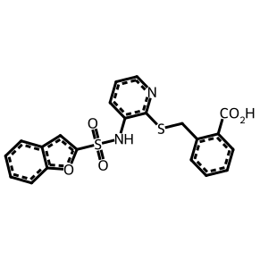 O=C(O)c1ccccc1CSc1ncccc1NS(=O)(=O)c1cc2ccccc2o1